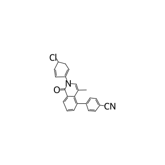 Cc1cn(C2=CCC(Cl)C=C2)c(=O)c2cccc(-c3ccc(C#N)cc3)c12